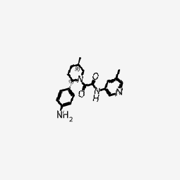 Cc1cncc(NC(=O)C(=O)N2C[C@H](C)CC[C@H]2c2ccc(N)cc2)c1